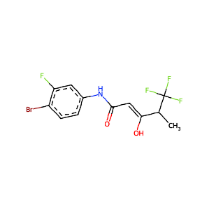 CC(C(O)=CC(=O)Nc1ccc(Br)c(F)c1)C(F)(F)F